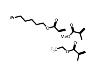 C=C(C)C(=O)OC.C=C(C)C(=O)OCC(F)(F)F.C=CC(=O)OCCCCCC(C)C